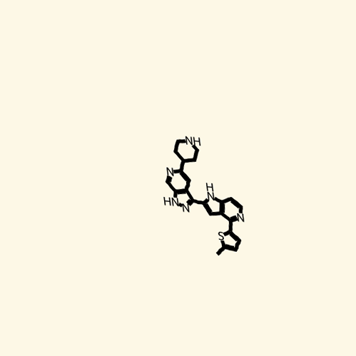 Cc1ccc(-c2nccc3[nH]c(-c4n[nH]c5cnc(C6CCNCC6)cc45)cc23)s1